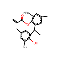 C=CC(=O)Oc1c(CCCC)cc(C)cc1C(C)c1cc(C)cc(CCCC)c1O